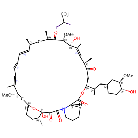 CO[C@H]1C[C@@H]2CC[C@@H](C)[C@@](O)(O2)C(=O)C(=O)N2CCCC[C@H]2C(=O)O[C@H]([C@H](C)C[C@@H]2CC[C@@H](O)[C@H](OC)C2)CC(=O)[C@H](C)/C=C(\C)[C@@H](O)[C@@H](OC)C(=O)[C@H](C)C[C@H](C)/C=C/C=C/C=C/1C.O=C(O)C(I)I